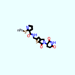 CCCSc1ncccc1C(=O)NCc1cc2c(s1)C(=O)N(C1CCC(=O)NC1=O)C2